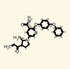 C=CC(=O)C1CCN(c2cnc(Oc3ccc(Oc4ccccc4)cc3)c(C(N)=O)c2)C1N